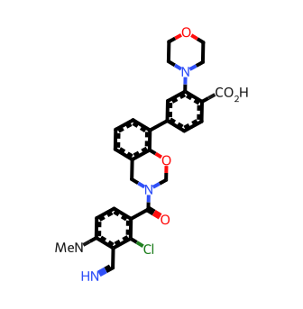 CNc1ccc(C(=O)N2COc3c(cccc3-c3ccc(C(=O)O)c(N4CCOCC4)c3)C2)c(Cl)c1C=N